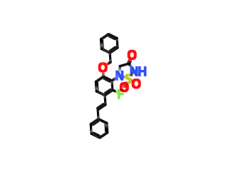 O=C1CN(c2c(OCc3ccccc3)ccc(/C=C/c3ccccc3)c2F)S(=O)(=O)N1